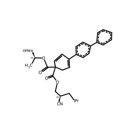 CCCCCC[C@H](C)OC(=O)C1(C(=O)OC[C@H](C#N)CC(C)C)C=CC(c2ccc(-c3ccccc3)cc2)=CC1